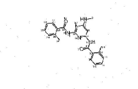 CNc1cc(NC(=O)c2ccccc2C)nc(NC(=O)c2ccccc2C)n1